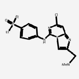 CCP(=O)(CC)c1ccc(Nc2nc(Cl)cc3nc(CNC)cn23)cc1